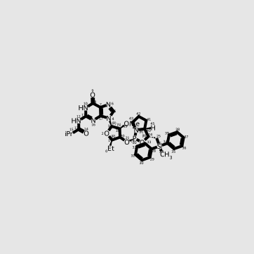 CC[C@H]1O[C@@H](n2cnc3c(=O)[nH]c(NC(=O)C(C)C)nc32)[C@@H](OC)C1O[P@]1O[C@@H](C[Si](C)(c2ccccc2)c2ccccc2)[C@H]2CCCN21